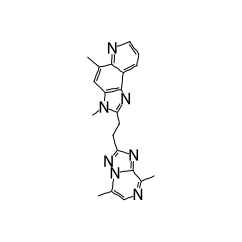 Cc1cc2c(nc(CCc3nc4c(C)ncc(C)n4n3)n2C)c2cccnc12